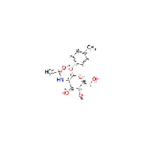 CC(=O)NC1C(Oc2ccc(C)cc2)OC(CO)C(O)C1O